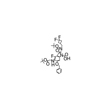 CC(C)(C)OC(=O)CNc1c(OCc2ccccc2)cc2c(c1F)C[C@H](CN(CC1CC(F)(F)C1)C(=O)OC(C)(C)C)N2C(=O)O